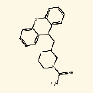 N=C(N)N1CCCC(CC2c3ccccc3Sc3ccccc32)C1